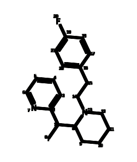 [CH2]C(c1ccccn1)C1CCCCN1CCc1ccc(F)cc1